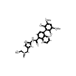 COc1cc(OC)c(Cl)c(-c2ccc(C(=O)Nc3nc(CN(C)CC#N)c[nH]3)c3nccnc23)c1Cl